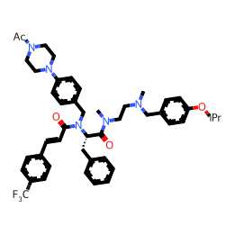 CC(=O)N1CCN(c2ccc(CN(C(=O)/C=C/c3ccc(C(F)(F)F)cc3)[C@@H](Cc3ccccc3)C(=O)N(C)CCN(C)Cc3ccc(OC(C)C)cc3)cc2)CC1